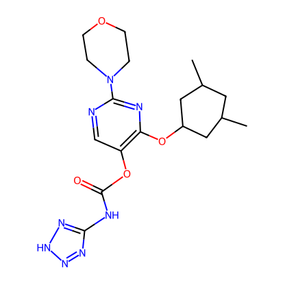 CC1CC(C)CC(Oc2nc(N3CCOCC3)ncc2OC(=O)Nc2nn[nH]n2)C1